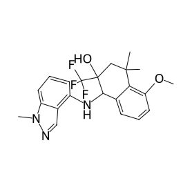 COc1cccc2c1C(C)(C)CC(O)(C(F)(F)F)C2Nc1cccc2c1cnn2C